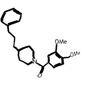 COc1ccc(C(=O)N2CCC(CCCc3ccccc3)CC2)cc1OC